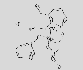 CCOCC(Oc1cccc(CC(C)C)c1CC(C)C)[N+](C)(C)Cc1ccccc1.[Cl-]